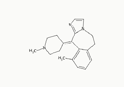 Cc1cccc2c1C(=C1CCN(C)CC1)c1nccn1CC2